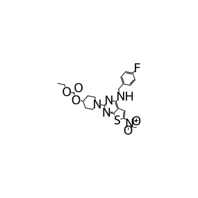 CCOC(=O)OC1CCN(c2nc(NCc3ccc(F)cc3)c3cc([N+](=O)[O-])sc3n2)CC1